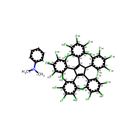 CN(C)c1ccccc1.Fc1c(F)c(F)c(C2=C(c3c(F)c(F)c(F)c(F)c3F)C(c3c(F)c(F)c(F)c(F)c3F)C(c3c(F)c(F)c(F)c(F)c3F)=C2c2c(F)c(F)c(F)c(F)c2F)c(F)c1F